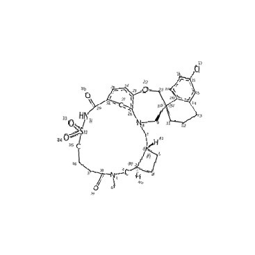 CN1C[C@@H]2CC[C@H]2CN2C[C@@]3(CCCc4cc(Cl)ccc43)COc3ccc(cc32)C(=O)NS(=O)(=O)CCCC1=O